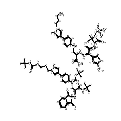 CC(C)(C)OC(=O)NCCCn1cc(-c2ccc(N(CC(ON3C(=O)c4ccccc4C3=O)C(=O)OC(C)(C)C)C(=O)OC(C)(C)C)cc2)cn1.C[n+]1cc(-c2ccc(NCC(ON=C(C(=O)N[C@@H]3C(=O)N(OS(=O)(=O)[O-])C3(C)C)c3csc(N)n3)C(=O)O)cc2)cn1CCCN